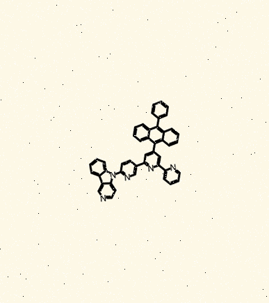 c1ccc(-c2c3ccccc3c(-c3cc(-c4ccc(-n5c6ccccc6c6cnccc65)nc4)nc(-c4ccccn4)c3)c3ccccc23)cc1